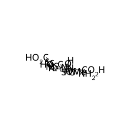 COC1(NC(=O)CCCC(N)C(=O)O)C(=O)N2C(C(=O)O)=C(CSc3nnc(SCC(=O)O)s3)CS[C@H]21